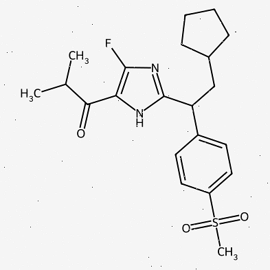 CC(C)C(=O)c1[nH]c(C(CC2CCCC2)c2ccc(S(C)(=O)=O)cc2)nc1F